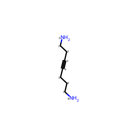 NCCC#CCCCN